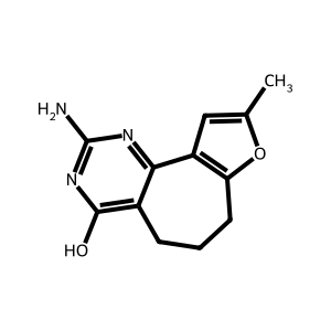 Cc1cc2c(o1)CCCc1c(O)nc(N)nc1-2